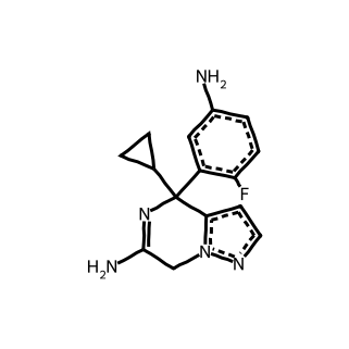 NC1=NC(c2cc(N)ccc2F)(C2CC2)c2ccnn2C1